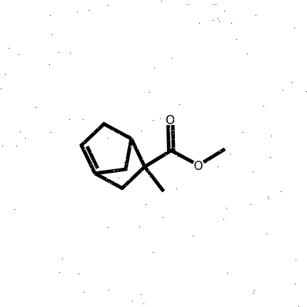 COC(=O)C1(C)CC2=CCC1C2